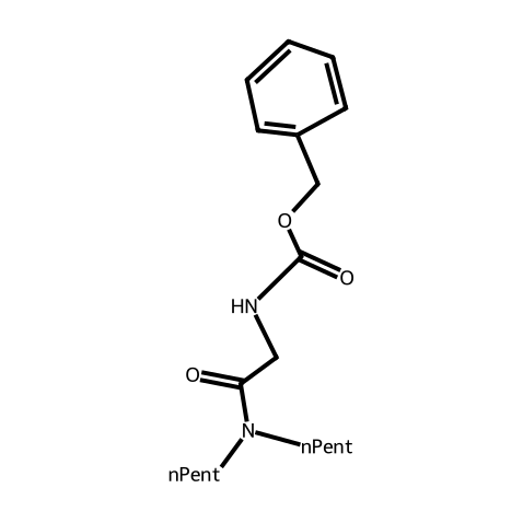 CCCCCN(CCCCC)C(=O)CNC(=O)OCc1ccccc1